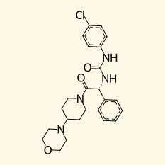 O=C(Nc1ccc(Cl)cc1)N[C@@H](C(=O)N1CCC(N2CCOCC2)CC1)c1ccccc1